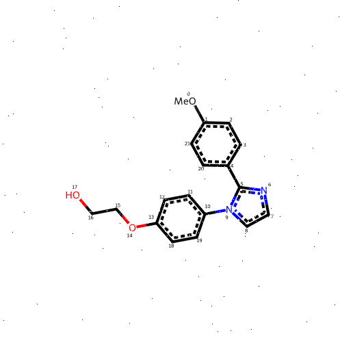 COc1ccc(-c2n[c]cn2-c2ccc(OCCO)cc2)cc1